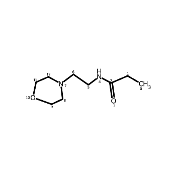 CCC(=O)NCCN1CCOCC1